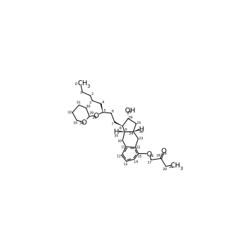 CCCCC[C@@H](CC[C@@H]1[C@H]2Cc3cccc(OCC(=O)CC)c3C[C@H]2C[C@H]1O)OC1CCCCO1